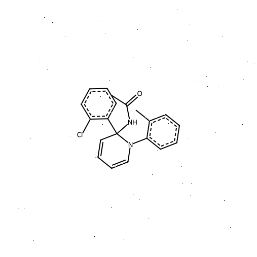 CC(=O)NC1(c2ccccc2Cl)C=[C]C=CN1c1ccccc1C